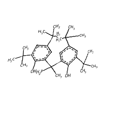 CC(C)(C)c1cc(C(C)(C)C)c(O)c(C(C)(P)c2cc(C(C)(C)C)cc(C(C)(C)C)c2O)c1